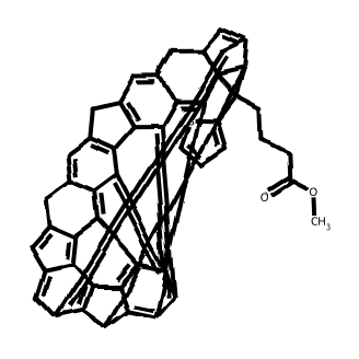 COC(=O)CCCC1(c2cccs2)C23C4=CC5Cc6cc7c8c9c(cc%10c%11c%12c%13c(cc%14cc(c%15c(c%16c(c%17c(c6c8c%17c(c9%11)c%16%12)C512)C%153)c%14%13)=C4)C%10)C7